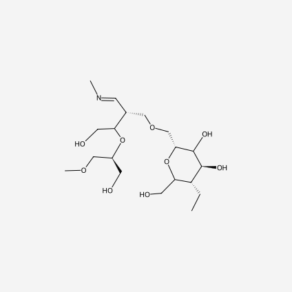 CC[C@@H]1C(CO)O[C@H](COC[C@@H](C=NC)C(CO)O[C@@H](CO)COC)C(O)[C@H]1O